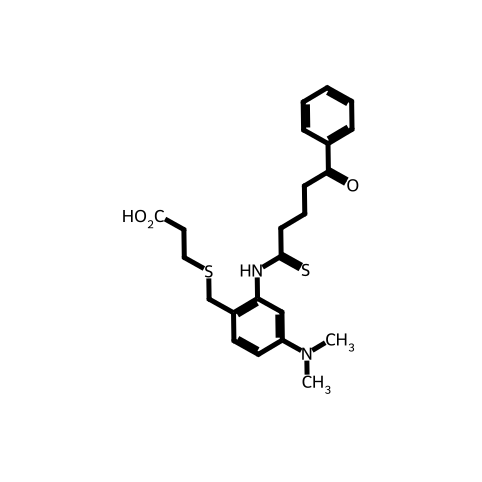 CN(C)c1ccc(CSCCC(=O)O)c(NC(=S)CCCC(=O)c2ccccc2)c1